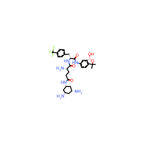 CC1(C)OB(O)c2cc(NC(=O)[C@@H](Cc3ccc(C(F)(F)F)cc3)NC(=O)[C@@H](N)CCC(=O)N[C@@H]3C[C@H](N)C[C@H](N)C3)ccc21